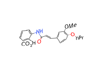 CCCOc1ccc(C=CC(=O)Nc2ccccc2C(=O)O)cc1OC